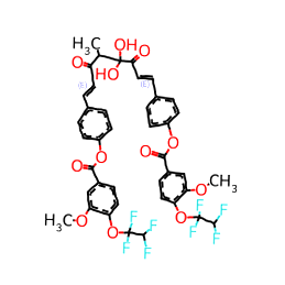 COc1cc(C(=O)Oc2ccc(/C=C/C(=O)C(C)C(O)(O)C(=O)/C=C/c3ccc(OC(=O)c4ccc(OC(F)(F)C(F)F)c(OC)c4)cc3)cc2)ccc1OC(F)(F)C(F)F